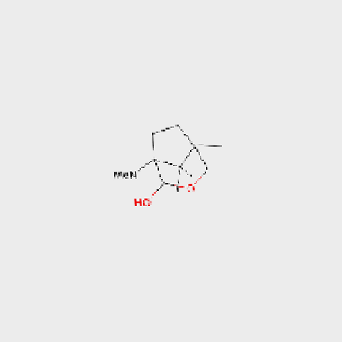 CNC12CCC(C)(COC1O)C2(C)C